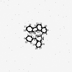 c1ccc(-c2nc(-c3cccc4ccc5c6ccccc6sc5c34)nc3ccccc23)cc1